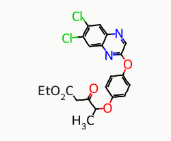 CCOC(=O)CC(=O)C(C)Oc1ccc(Oc2cnc3cc(Cl)c(Cl)cc3n2)cc1